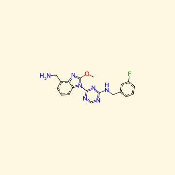 COc1nc2c(CN)cccc2n1-c1ncnc(NCc2cccc(F)c2)n1